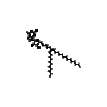 CCCCCCCCCCCCCCC(COPOCC1OC(n2cnc3c(C)nc(Cl)nc32)C(F)C1O)OCCCCCCCCCC